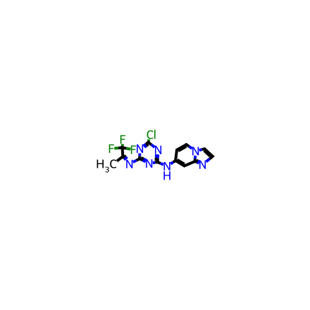 C/C(=N/c1nc(Cl)nc(Nc2ccn3ccnc3c2)n1)C(F)(F)F